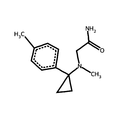 Cc1ccc(C2(N(C)CC(N)=O)CC2)cc1